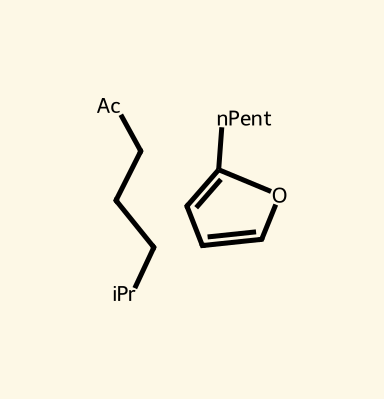 CC(=O)CCCC(C)C.CCCCCc1ccco1